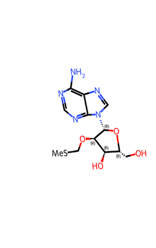 CSCO[C@@H]1[C@H](O)[C@@H](CO)O[C@H]1n1cnc2c(N)ncnc21